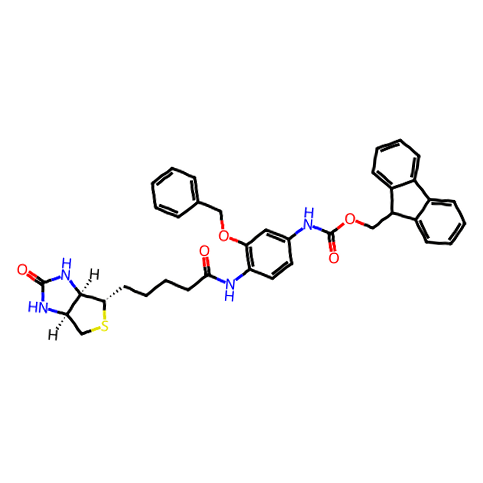 O=C(CCCC[C@@H]1SC[C@H]2NC(=O)N[C@@H]12)Nc1ccc(NC(=O)OCC2c3ccccc3-c3ccccc32)cc1OCc1ccccc1